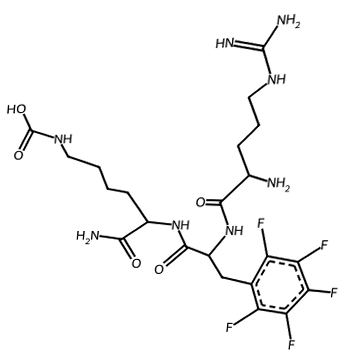 N=C(N)NCCCC(N)C(=O)NC(Cc1c(F)c(F)c(F)c(F)c1F)C(=O)NC(CCCCNC(=O)O)C(N)=O